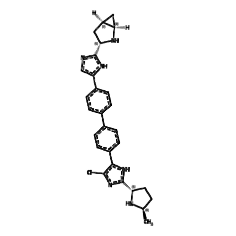 C[C@@H]1CC[C@@H](c2nc(Cl)c(-c3ccc(-c4ccc(-c5cnc([C@@H]6C[C@H]7C[C@H]7N6)[nH]5)cc4)cc3)[nH]2)N1